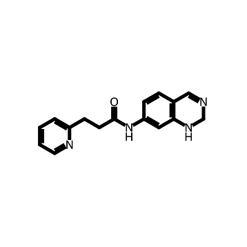 O=C(CCc1ccccn1)Nc1ccc2c(c1)NCN=C2